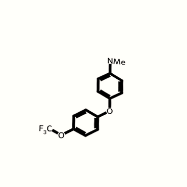 CNc1ccc(Oc2ccc(OC(F)(F)F)cc2)cc1